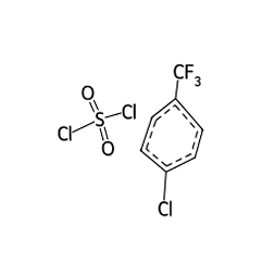 FC(F)(F)c1ccc(Cl)cc1.O=S(=O)(Cl)Cl